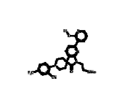 CCOc1ncccc1-c1ccc2c(n1)N(CCNC)C(=O)C21CCN(c2ccc(C(F)(F)F)cc2C#N)CC1